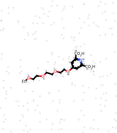 CCOCCOCCOCCOc1cc(C(=O)O)nc(C(=O)O)c1